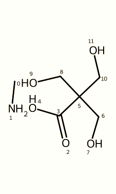 CN.O=C(O)C(CO)(CO)CO